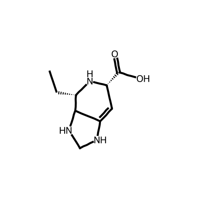 CC[C@@H]1N[C@H](C(=O)O)C=C2NCNC21